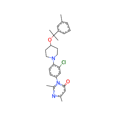 Cc1cccc(C(C)(C)OC2CCN(c3ccc(-n4c(C)nc(C)cc4=O)cc3Cl)CC2)c1